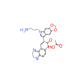 CC(=O)O.NCCCn1cc(C2=Cc3c(ccc4c3=NCCN=4)CC2=O)c2cc3c(cc21)OCO3